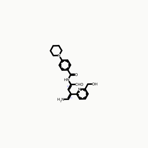 N/C=C(\C=C(/C=O)NC(=O)c1ccc(N2CCCCC2)cc1)c1cccc(CO)n1